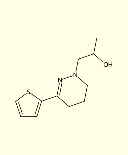 CC(O)CN1CCCC(c2cccs2)=N1